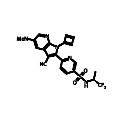 CNc1cnc2c(c1)c(C#N)c(-c1ccc(S(=O)(=O)N[C@@H](C)C(F)(F)F)cn1)n2C1=CC=C1